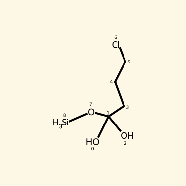 OC(O)(CCCCl)O[SiH3]